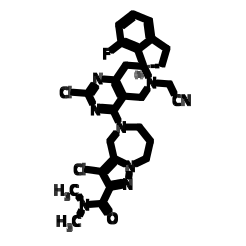 CN(C)C(=O)c1nn2c(c1Cl)CN(c1nc(Cl)nc3c1CN(CC#N)[C@@]1(CCc4cccc(F)c41)C3)CCC2